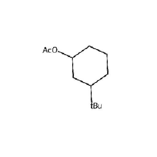 CC(=O)OC1CCCC(C(C)(C)C)C1